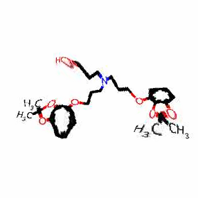 CC1(C)Oc2cccc(OCCCN(CCCO)CCCOc3cccc4c3OC(C)(C)O4)c2O1